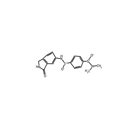 CN(C)[S+]([O-])c1ccc([S+]([O-])Nc2ccc3c(c2)C(=O)NC3)cc1